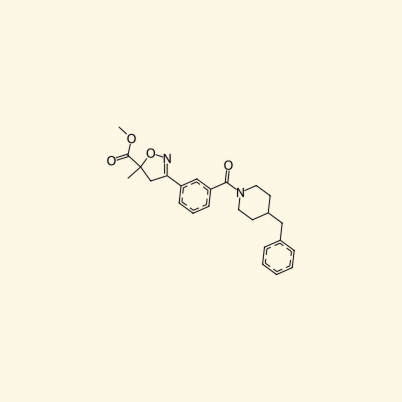 COC(=O)C1(C)CC(c2cccc(C(=O)N3CCC(Cc4ccccc4)CC3)c2)=NO1